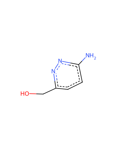 Nc1ccc(CO)nn1